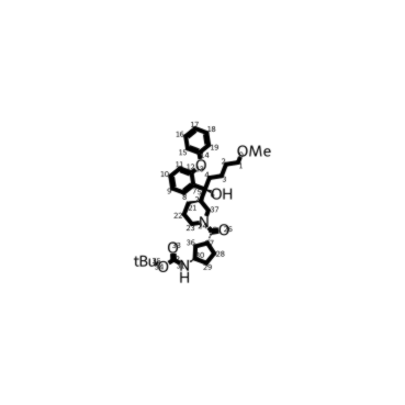 COCCCC[C@@](O)(c1ccccc1Oc1ccccc1)[C@@H]1CCCN(C(=O)[C@@H]2CC[C@H](NC(=O)OC(C)(C)C)C2)C1